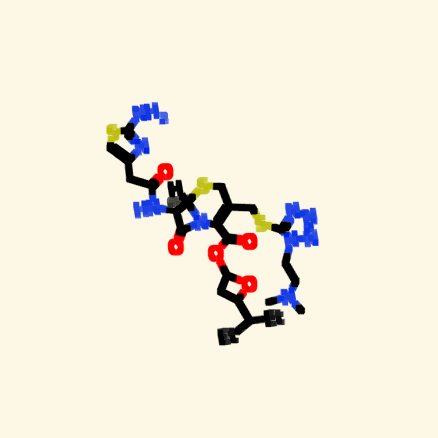 CCC(CC)C1CC(OC(=O)C2=C(CSc3nnnn3CCN(C)C)CS[C@H]3[C@H](NC(=O)Cc4csc(N)n4)C(=O)N23)O1